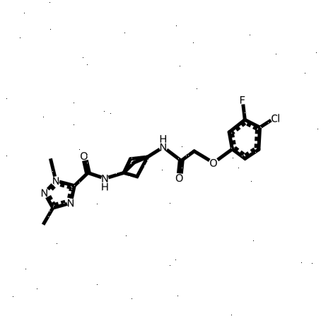 Cc1nc(C(=O)NC23CC(NC(=O)COc4ccc(Cl)c(F)c4)(C2)C3)n(C)n1